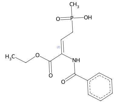 CCOC(=O)/C(=C/CP(C)(=O)O)NC(=O)c1ccccc1